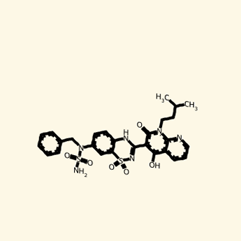 CC(C)CCn1c(=O)c(C2=NS(=O)(=O)c3cc(N(Cc4ccccc4)S(N)(=O)=O)ccc3N2)c(O)c2cccnc21